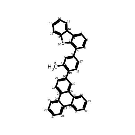 Cc1cc(-c2cccc3c2sc2ccccc23)ccc1-c1ccc2c3ccccc3c3ccccc3c2c1